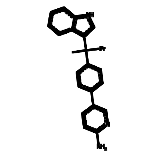 CC(C)C(C)(c1ccc(-c2ccc(N)nc2)cc1)c1c[nH]c2ccccc12